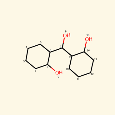 OC1CCCCC1C(O)C1CCCCC1O